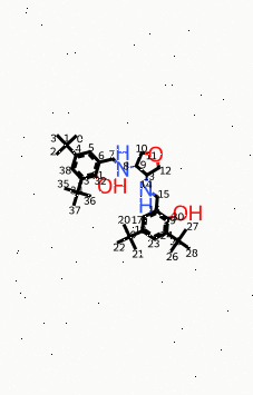 CC(C)(C)c1cc(CN[C@@H]2COC[C@H]2NCc2cc(C(C)(C)C)cc(C(C)(C)C)c2O)c(O)c(C(C)(C)C)c1